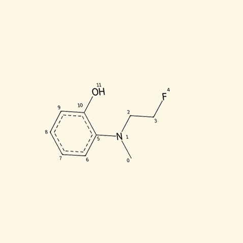 CN(CCF)c1ccccc1O